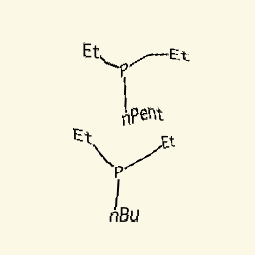 CCCCCP(CC)CC.CCCCP(CC)CC